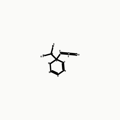 O=C=NC1(C(F)F)C=CC=CC1